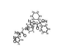 O=C(C[N+]12CCC(CC1)[C@@H](OC(=O)C(O)(c1ccccc1)C1CCCCC1)C2)Nc1ccon1